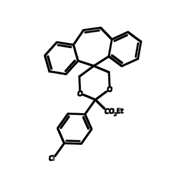 CCOC(=O)C1(c2ccc(Cl)cc2)OCC2(CO1)c1ccccc1C=Cc1ccccc12